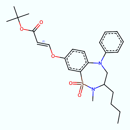 CCCCC1CN(c2ccccc2)c2ccc(O/C=C/C(=O)OC(C)(C)C)cc2S(=O)(=O)N1C